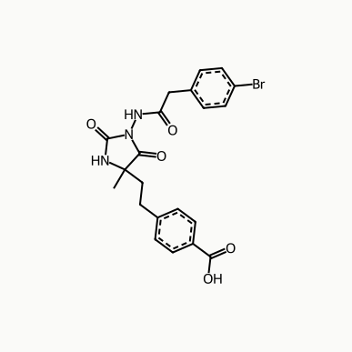 CC1(CCc2ccc(C(=O)O)cc2)NC(=O)N(NC(=O)Cc2ccc(Br)cc2)C1=O